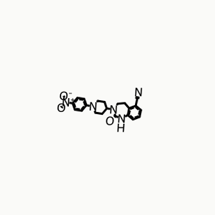 N#Cc1cccc2c1CCN(C1CCN(c3ccc([N+](=O)[O-])cc3)CC1)C(=O)N2